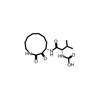 CC(C)[C@H](NC(=O)O)C(=O)N[C@H]1CCCCCCCNC(=O)C1=O